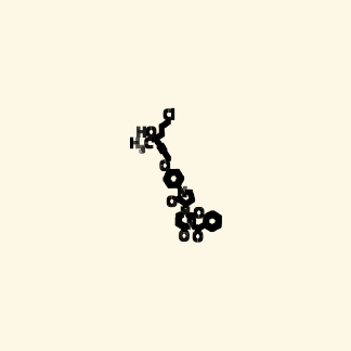 CC(O)(C#CCOc1ccc(N2CCC(n3ccc(=O)n(C(=O)c4ccccc4)c3=O)C2=O)cc1)CCCCl